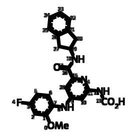 COc1cc(F)ccc1Nc1cc(NC(=O)O)nc(C(=O)NC2Cc3ccccc3C2)c1